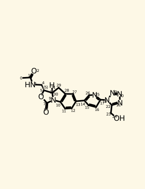 CC(=O)NC[C@@H]1OC(=O)N2c3ccc(-c4ccc(-n5nnnc5CO)nc4)cc3C[C@@H]12